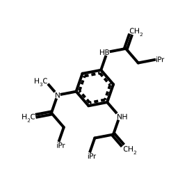 C=C(Bc1cc(NC(=C)CC(C)C)cc(N(C)C(=C)CC(C)C)c1)CC(C)C